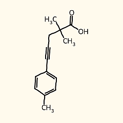 Cc1ccc(C#CCC(C)(C)C(=O)O)cc1